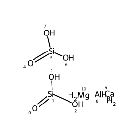 O=[Si](O)O.O=[Si](O)O.[AlH3].[CaH2].[MgH2]